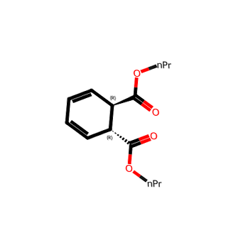 CCCOC(=O)[C@@H]1C=CC=C[C@H]1C(=O)OCCC